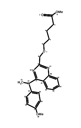 COC(=O)CCCCOCc1nc(N(C)c2ccc(OC)cc2)c2ccccc2n1